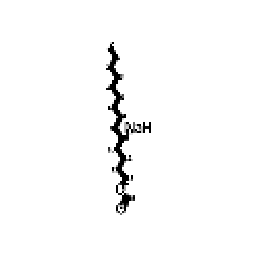 CCCCCCCCCCCCCCOC=O.[NaH]